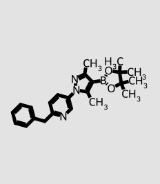 Cc1nn(-c2ccc(Cc3ccccc3)nc2)c(C)c1B1OC(C)(C)C(C)(C)O1